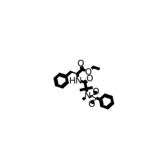 CCOC(=O)[C@H](Cc1ccccc1)NC(=O)C(C)(C)N(C)S(=O)(=O)c1ccccc1